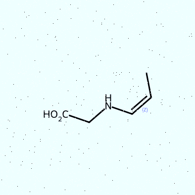 C/C=C\NCC(=O)O